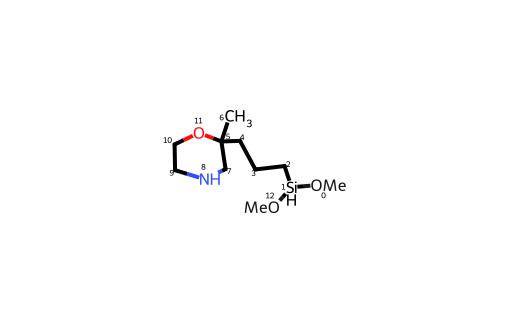 CO[SiH](CCCC1(C)CNCCO1)OC